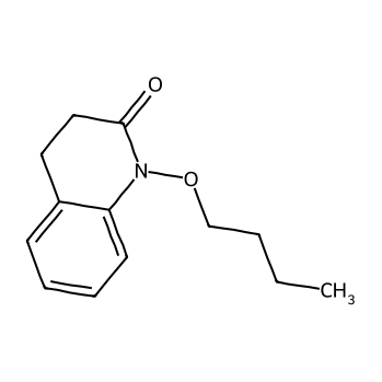 CCCCON1C(=O)CCc2ccccc21